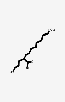 CCCCCCCCC=CCCCCCCC(CCCO)C(N)=O